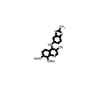 COc1ccc2c(Nc3ccc4sc(C)nc4c3)c(C#N)cnc2c1OC